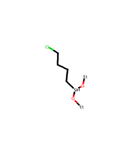 CCO[SiH](CCCCCl)OCC